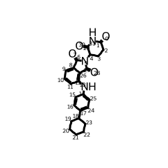 O=C1CCC(N2C(=O)c3cccc(Nc4ccc(C5CCCCC5)cc4)c3C2=O)C(=O)N1